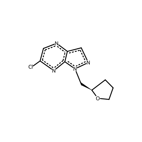 Clc1cnc2cnn(C[C@H]3CCCO3)c2n1